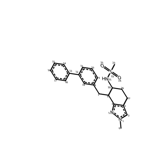 Cn1cc2c(n1)C(Cc1cccc(-c3ccccc3)c1)C(NS(C)(=O)=O)CC2